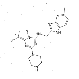 Cc1ccc2[nH]c(CNc3nc(N4CCNCC4)nc4c(Br)cnn34)nc2c1